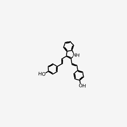 Oc1ccc(/C=C/c2[nH]c3ccccc3c2/C=C/c2ccc(O)cc2)cc1